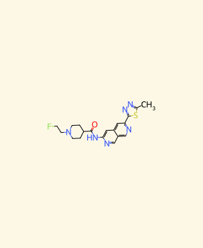 Cc1nnc(-c2cc3cc(NC(=O)C4CCN(CCF)CC4)ncc3cn2)s1